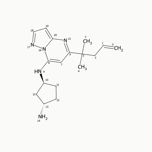 C=CCC(C)(C)c1cc(N[C@H]2CC[C@H](N)C2)n2nccc2n1